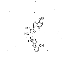 CCOc1ncnc2c1ncn2[C@@H]1O[C@H](COS(=O)(=O)NC(=O)c2ccccc2O)[C@@H](O)[C@H]1O